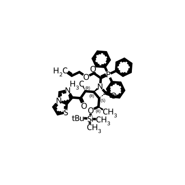 C=CCOC(=O)C(N1C(=O)[C@H]([C@@H](C)O[Si](C)(C)C(C)(C)C)[C@H]1[C@@H](C)C(=O)c1ncn2ccsc12)=P(c1ccccc1)(c1ccccc1)c1ccccc1